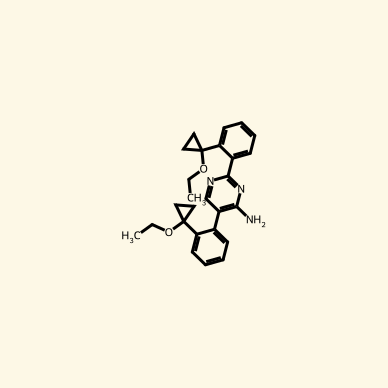 CCOC1(c2ccccc2-c2ncc(-c3ccccc3C3(OCC)CC3)c(N)n2)CC1